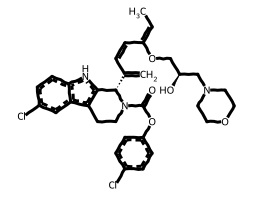 C=C(/C=C\C(=C/C)OC[C@H](O)CN1CCOCC1)[C@H]1c2[nH]c3ccc(Cl)cc3c2CCN1C(=O)Oc1ccc(Cl)cc1